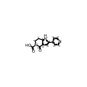 O=C(O)N1CCc2[nH]c(-c3ccncc3)cc2C1=O